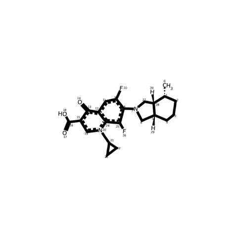 C[C@@H]1CCC[C@@H]2CN(c3c(F)cc4c(=O)c(C(=O)O)cn(C5CC5)c4c3F)C[C@@H]21